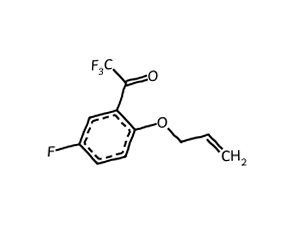 C=CCOc1ccc(F)cc1C(=O)C(F)(F)F